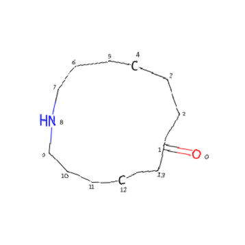 O=C1CCCCCCNCCCCC1